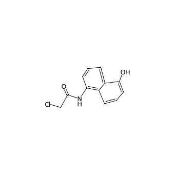 O=C(CCl)Nc1cccc2c(O)cccc12